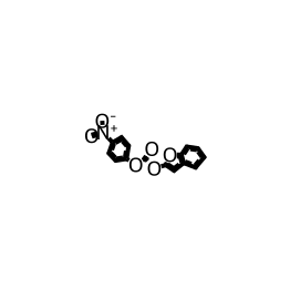 O=C(Oc1ccc([N+](=O)[O-])cc1)Oc1cc2ccccc2o1